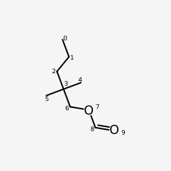 CCCC(C)(C)COC=O